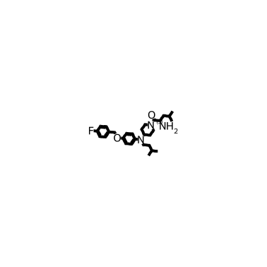 CC(C)CCN(c1ccc(OCc2ccc(F)cc2)cc1)C1CCN(C(=O)[C@@H](N)CC(C)C)CC1